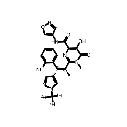 [2H]C([2H])([2H])n1cc([C@H](c2ccccc2C#N)[C@H](C)c2nc(C(=O)Nc3cnoc3)c(O)c(=O)n2C)cn1